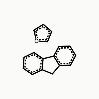 c1ccc2c(c1)Cc1ccccc1-2.c1ccoc1